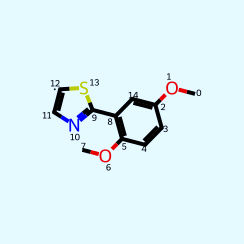 COc1ccc(OC)c(-c2nc[c]s2)c1